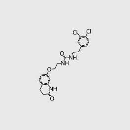 O=C1CCc2ccc(OCCNC(=O)NCCc3ccc(Cl)c(Cl)c3)cc2N1